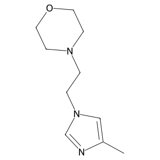 Cc1cn(CCN2CCOCC2)cn1